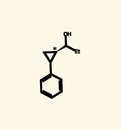 CCC(O)[C@H]1CC1c1ccccc1